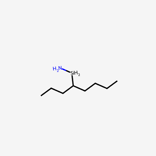 CCCCC(CCC)[SiH2]N